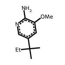 CCC(C)(C)c1cnc(N)c(OC)c1